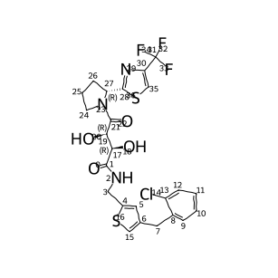 O=C(NCc1cc(Cc2ccccc2Cl)cs1)[C@H](O)[C@@H](O)C(=O)N1CCC[C@@H]1c1nc(C(F)(F)F)cs1